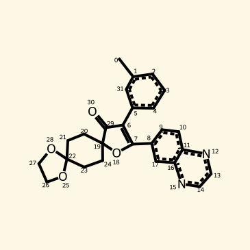 Cc1cccc(C2=C(c3ccc4nccnc4c3)OC3(CCC4(CC3)OCCO4)C2=O)c1